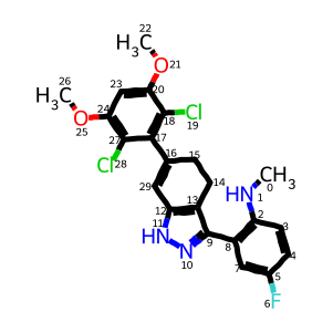 CNc1ccc(F)cc1-c1n[nH]c2c1CCC(c1c(Cl)c(OC)cc(OC)c1Cl)=C2